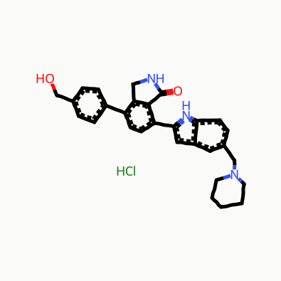 Cl.O=C1NCc2c(-c3ccc(CO)cc3)ccc(-c3cc4cc(CN5CCCCC5)ccc4[nH]3)c21